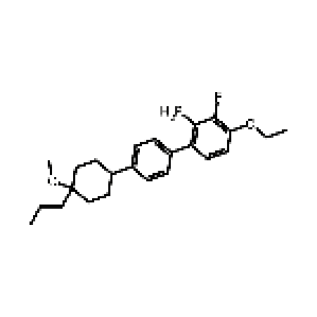 CCCC1(OC)CCC(c2ccc(-c3ccc(OCC)c(F)c3P)cc2)CC1